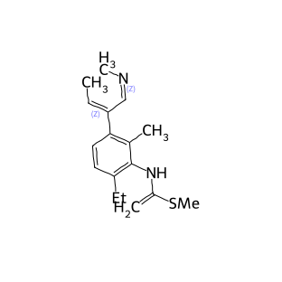 C=C(Nc1c(CC)ccc(C(/C=N\C)=C/C)c1C)SC